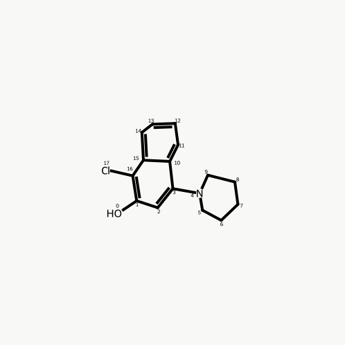 Oc1cc(N2CCCCC2)c2ccccc2c1Cl